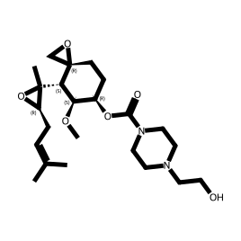 CO[C@H]1[C@H](C2(C)O[C@@H]2CC=C(C)C)[C@]2(CC[C@H]1OC(=O)N1CCN(CCO)CC1)CO2